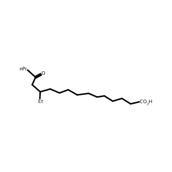 CCCC(=O)CC(CC)CCCCCCCCCCC(=O)O